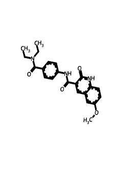 CCN(CC)C(=O)c1ccc(NC(=O)c2cc3cc(OC)ccc3[nH]c2=O)cc1